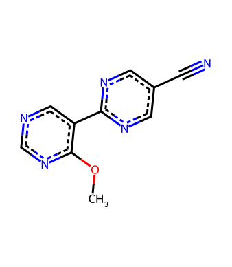 COc1ncncc1-c1ncc(C#N)cn1